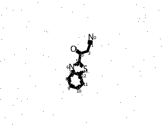 N#CCC(=O)c1nc2ccccc2s1